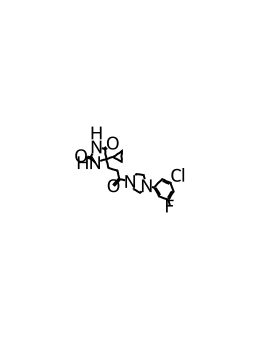 O=C1NC(=O)C(CCC(=O)N2CCN(c3cc(F)cc(Cl)c3)CC2)(C2CC2)N1